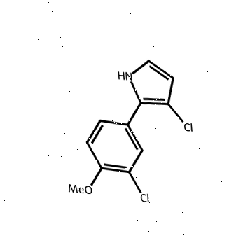 COc1ccc(-c2[nH]ccc2Cl)cc1Cl